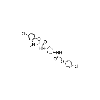 CN1C[C@@H](C(=O)NC2CCC(NC(=O)COc3ccc(Cl)cc3)CC2)Oc2ccc(Cl)cc21